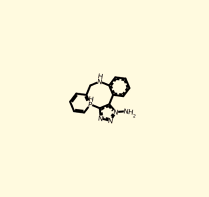 Nn1nnc2c1-c1ccccc1NCC1=[PH]2C=CC=C1